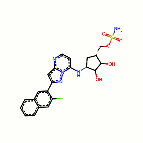 NS(=O)(=O)OC[C@H]1C[C@@H](Nc2ccnc3cc(-c4cc5ccccc5cc4F)nn23)[C@H](O)[C@@H]1O